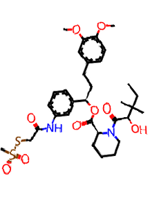 CCC(C)(C)C(O)C(=O)N1CCCC[C@H]1C(=O)O[C@H](CCc1ccc(OC)c(OC)c1)c1cccc(NC(=O)CSS(C)(=O)=O)c1